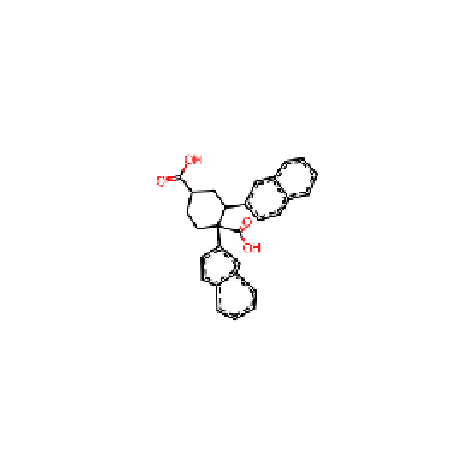 O=C(O)C1CCC(C(=O)O)(c2ccc3ccccc3c2)C(c2ccc3ccccc3c2)C1